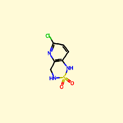 O=S1(=O)NCc2nc(Cl)ccc2N1